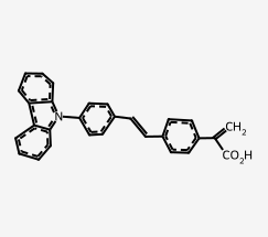 C=C(C(=O)O)c1ccc(C=Cc2ccc(-n3c4ccccc4c4ccccc43)cc2)cc1